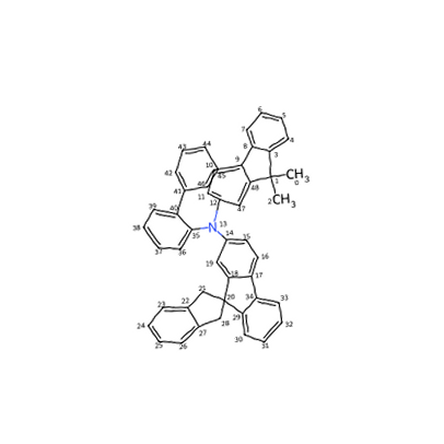 CC1(C)c2ccccc2-c2ccc(N(c3ccc4c(c3)C3(Cc5ccccc5C3)c3ccccc3-4)c3ccccc3-c3ccccc3)cc21